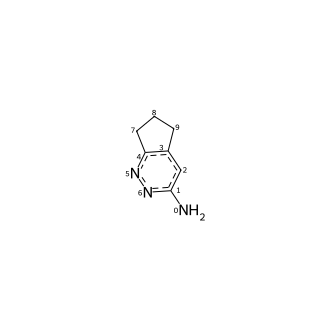 Nc1cc2c(nn1)CCC2